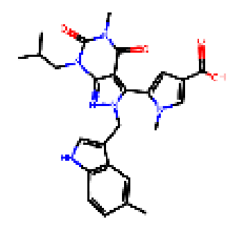 Cc1ccc2[nH]cc(Cn3nc4c(c3-c3cc(C(=O)O)cn3C)c(=O)n(C)c(=O)n4CC(C)C)c2c1